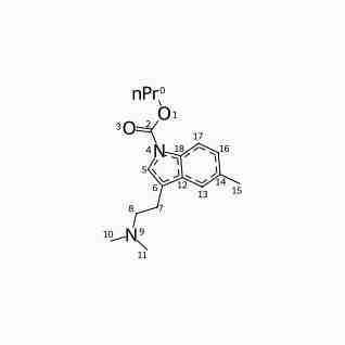 CCCOC(=O)n1cc(CCN(C)C)c2cc(C)ccc21